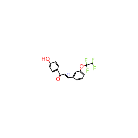 O=C(/C=C/c1cccc(OC(F)(F)C(F)F)c1)c1ccc(O)cc1